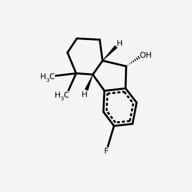 CC1(C)CCC[C@@H]2[C@H](O)c3ccc(F)cc3[C@@H]21